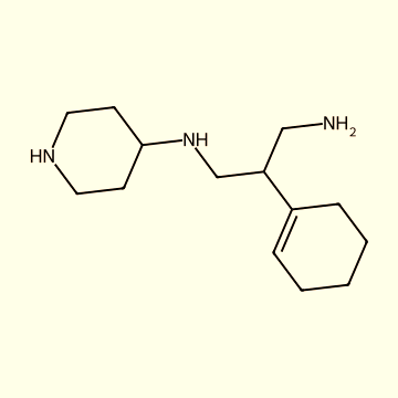 NCC(CNC1CCNCC1)C1=CCCCC1